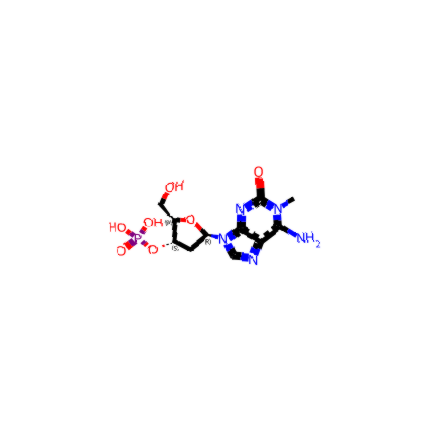 Cn1c(N)c2ncn([C@H]3C[C@H](OP(=O)(O)O)[C@@H](CO)O3)c2nc1=O